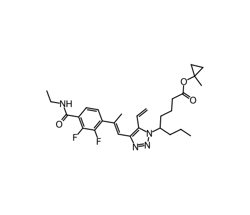 C=Cc1c(/C=C(\C)c2ccc(C(=O)NCC)c(F)c2F)nnn1C(CCC)CCCC(=O)OC1(C)CC1